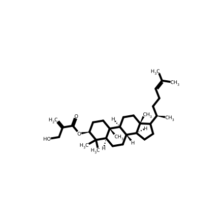 C=C(CO)C(=O)O[C@H]1CC[C@]2(C)[C@H]3CC[C@]4(C)C([C@H](C)CCC=C(C)C)CC[C@H]4[C@@H]3CC[C@H]2C1(C)C